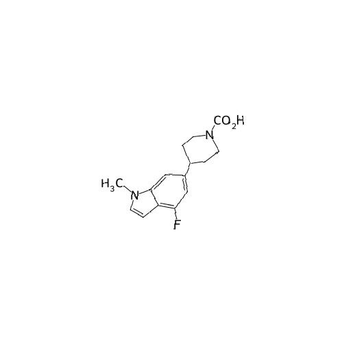 Cn1ccc2c(F)cc(C3CCN(C(=O)O)CC3)cc21